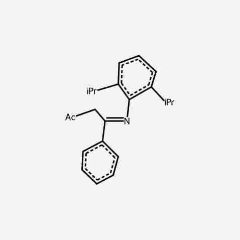 CC(=O)C/C(=N\c1c(C(C)C)cccc1C(C)C)c1ccccc1